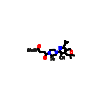 COC(=O)CCC(=O)N1CCN(c2nc(C3CC3)c3c(c2C#N)CC(C)(C)OC3)C[C@H]1C(C)C